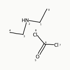 CCNCC.O=C(Cl)Cl